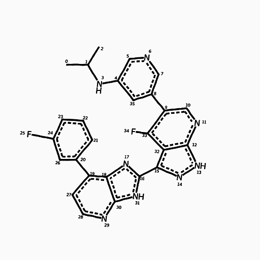 CC(C)Nc1cncc(-c2cnc3[nH]nc(-c4nc5c(-c6cccc(F)c6)ccnc5[nH]4)c3c2F)c1